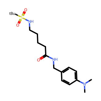 CN(C)c1ccc(CNC(=O)CCCCNS(=O)(=O)C(C)(C)C)cc1